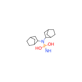 N=P(O)(O)N(C1CC2CCC1C2)C1CC2CCC1C2